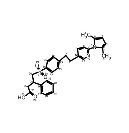 Cc1ccc(C)n1-c1ccc(CCc2ccc(S(=O)(=O)CC(CC(=O)O)c3ccccc3)cc2)cn1